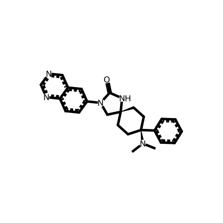 CN(C)[C@]1(c2ccccc2)CC[C@@]2(CC1)CN(c1ccc3ncncc3c1)C(=O)N2